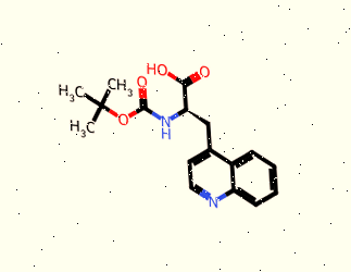 CC(C)(C)OC(=O)N[C@H](Cc1ccnc2ccccc12)C(=O)O